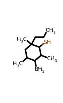 BC1C(C)CC(C)(CCC)C(S)C1C